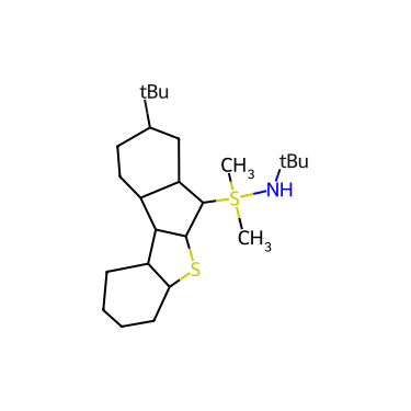 CC(C)(C)NS(C)(C)C1C2CC(C(C)(C)C)CCC2C2C3CCCCC3SC21